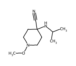 CON1CCC(C#N)(NC(C)C)CC1